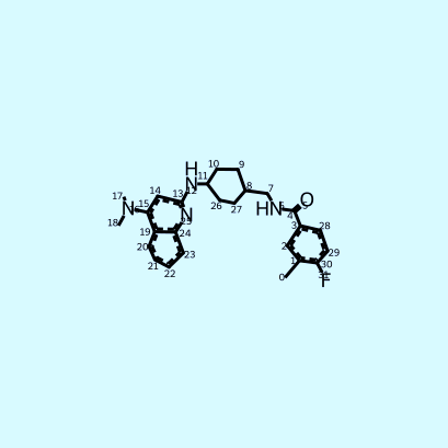 Cc1cc(C(=O)NCC2CCC(Nc3cc(N(C)C)c4ccccc4n3)CC2)ccc1F